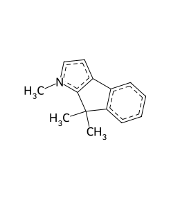 Cn1ccc2c1C(C)(C)c1ccccc1-2